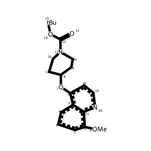 COc1cccc2c(OC3CCN(C(=O)OC(C)(C)C)CC3)ccnc12